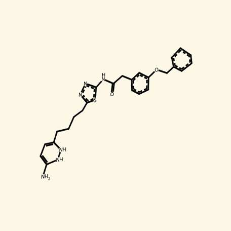 NC1=CC=C(CCCCc2nnc(NC(=O)Cc3cccc(OCc4ccccc4)c3)s2)NN1